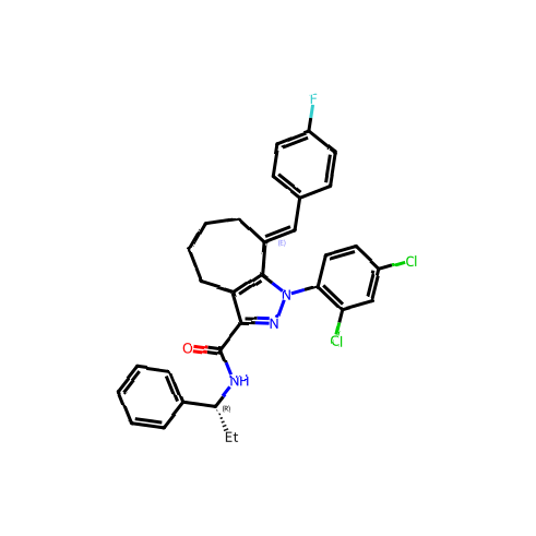 CC[C@@H](NC(=O)c1nn(-c2ccc(Cl)cc2Cl)c2c1CCCC/C2=C\c1ccc(F)cc1)c1ccccc1